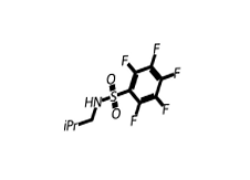 CC(C)CNS(=O)(=O)c1c(F)c(F)c(F)c(F)c1F